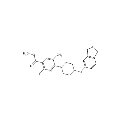 COC(=O)c1cc(C)c(N2CCC(Oc3ccc4c(c3)COC4)CC2)nc1I